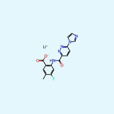 Cc1cc(C(=O)[O-])c(NC(=O)c2ccc(-n3ccnc3)nn2)cc1F.[Li+]